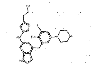 OCCn1cc(Nc2nc(Cc3cc(N4CCNCC4)cc(F)c3F)c3cn[nH]c3n2)cn1